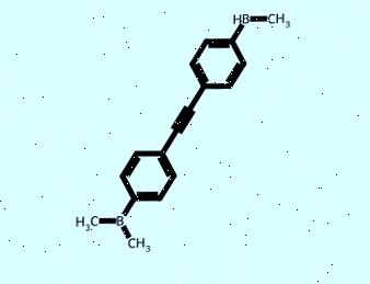 CBc1ccc(C#Cc2ccc(B(C)C)cc2)cc1